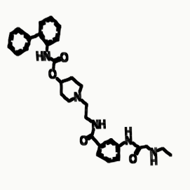 CCNCC(=O)Nc1cccc(C(=O)NCCN2CCC(OC(=O)Nc3ccccc3-c3ccccc3)CC2)c1